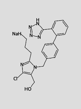 CCCCc1nc(Cl)c(CO)n1Cc1ccc(-c2ccccc2-c2nnn[nH]2)cc1.[NaH]